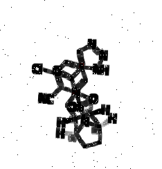 N#Cc1c(Cl)cccc1S(=O)(=O)N1[C@@H]2CC[C@H]1[C@@H]1CN(C(=O)c3cnn[nH]3)C[C@@H]12